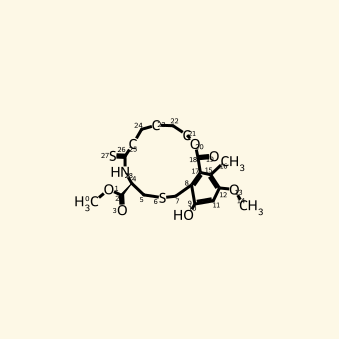 COC(=O)[C@@H]1CSCc2c(O)cc(OC)c(C)c2C(=O)OCCCCCC(=S)N1